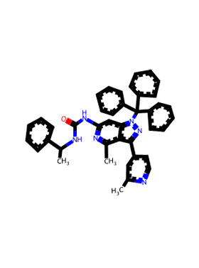 Cc1cc(-c2nn(C(c3ccccc3)(c3ccccc3)c3ccccc3)c3cc(NC(=O)NC(C)c4ccccc4)nc(C)c23)ccn1